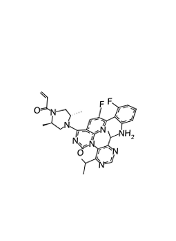 C=CC(=O)N1C[C@H](C)N(c2nc(=O)n(-c3c(C(C)C)ncnc3C(C)C)c3nc(-c4c(N)cccc4F)c(F)cc23)C[C@H]1C